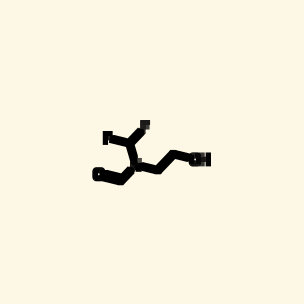 O=CN(CCO)C(F)F